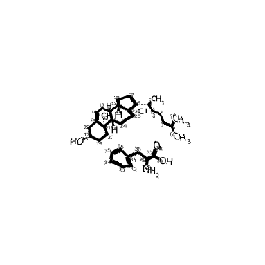 CC(C)CCCC(C)[C@H]1CC[C@H]2[C@@H]3CC=C4C[C@@H](O)CC[C@]4(C)[C@H]3CC[C@]12C.NC(Cc1ccccc1)C(=O)O